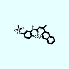 C/C(=C/C(=O)Nc1cc(NS(C)(=O)=O)ccc1C(=O)O)c1ccc2ccccc2c1